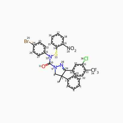 CC1(c2ccccc2)CN(C(=O)N(Sc2ccccc2[N+](=O)[O-])c2ccc(Br)cc2)N=C1c1ccc(C(F)(F)F)c(Cl)c1